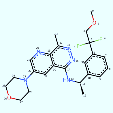 COCC(F)(F)c1cccc([C@@H](C)Nc2nnc(C)c3ncc(N4CCOCC4)cc23)c1